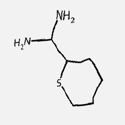 NC(N)C1CCCCS1